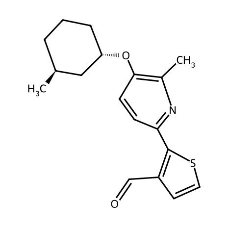 Cc1nc(-c2sccc2C=O)ccc1O[C@H]1CCC[C@H](C)C1